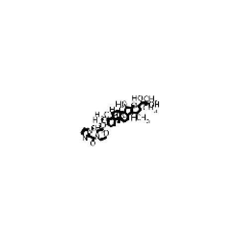 C[C@@H]1CC([C@H](O)C(C)(C)O)OC2[C@H]1[C@@]1(C)CCC34C[C@@]35CC[C@H](O[C@H]3CN(C(=O)c6nccn6C)CCO3)C(C)(C)C5CCC4[C@]1(C)[C@H]2O